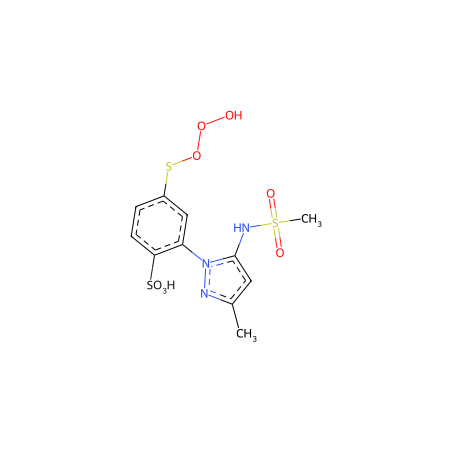 Cc1cc(NS(C)(=O)=O)n(-c2cc(SOOO)ccc2S(=O)(=O)O)n1